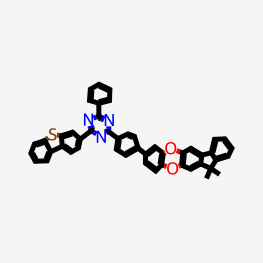 CC1(C)c2ccccc2-c2cc3c(cc21)Oc1ccc(-c2ccc(-c4nc(-c5ccccc5)nc(-c5ccc6c(c5)sc5ccccc56)n4)cc2)cc1O3